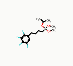 CO[Si](CCCCc1cc(F)c(F)c(F)c1F)(OC)OC(C)C